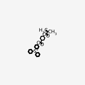 C=C(C)C(=O)OC1CCC(C(=O)Oc2ccc([S+](c3ccccc3)c3ccccc3)cc2)CC1